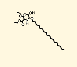 CCCCCCCCCCCCCCCCCCOC(NC(C(=O)OCC)C(=O)OCC)C(C)O